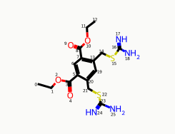 CCOC(=O)c1cc(C(=O)OCC)c(CSC(=N)N)cc1CSC(=N)N